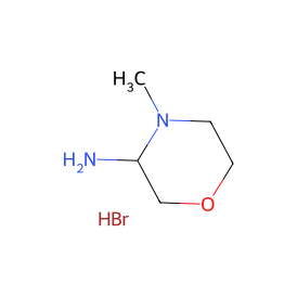 Br.CN1CCOCC1N